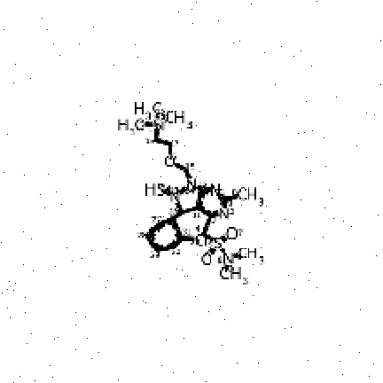 Cc1nc(CS(=O)(=O)N(C)C)c2c(n1)N(COCC[Si](C)(C)C)N(S)C2c1ccccc1Cl